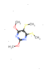 COc1nc(OC)c(SC)c(SC)n1